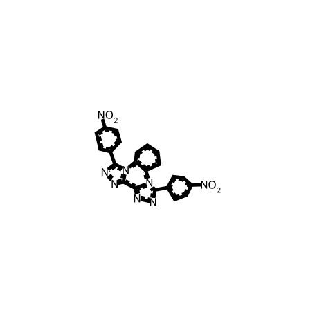 O=[N+]([O-])c1ccc(-c2nnc3c4nnc(-c5ccc([N+](=O)[O-])cc5)n4c4ccccc4n23)cc1